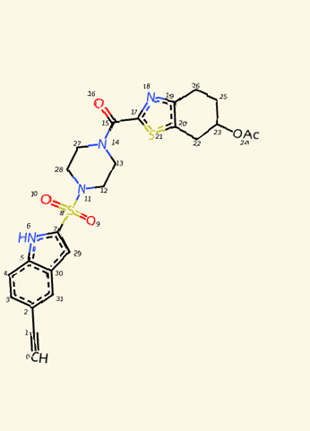 C#Cc1ccc2[nH]c(S(=O)(=O)N3CCN(C(=O)c4nc5c(s4)CC(OC(C)=O)CC5)CC3)cc2c1